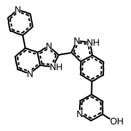 Oc1cncc(-c2ccc3[nH]nc(-c4nc5c(-c6ccncc6)ccnc5[nH]4)c3c2)c1